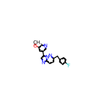 COc1cncc(-c2cnc3ccc(Cc4ccc(F)cc4)nn23)c1